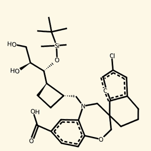 CC(C)(C)[Si](C)(C)O[C@H]([C@@H]1CC[C@H]1CN1CC2(CCCc3cc(Cl)ccc32)COc2ccc(C(=O)O)cc21)[C@@H](O)CO